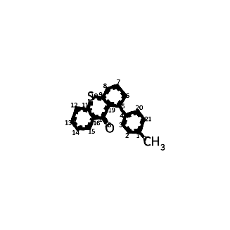 Cc1ccc(-c2cccc3sc4ccccc4c(=O)c23)cc1